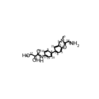 CN(Cc1cccc(-c2ccc(NC(=O)C(O)CO)cc2)c1)C(=O)CN